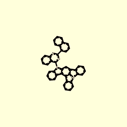 c1ccc2c(-c3nc(-n4c5ccccc5c5c6c7ccccc7n7c8ccccc8c(cc54)c67)c4ccccc4n3)cccc2c1